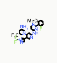 COc1cccc(F)c1-c1nccc(Nc2cc(N3C[C@@H](N)C[C@@H](C(F)(F)F)C3)c(-c3cnn(C(F)F)c3)cn2)n1